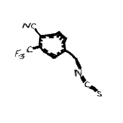 N#Cc1ccc(CN=C=S)cc1C(F)(F)F